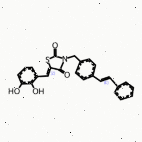 O=C1S/C(=C\c2cccc(O)c2O)C(=O)N1Cc1ccc(/C=C/c2ccccc2)cc1